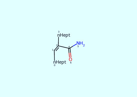 CCCCCCCC=C(CCCCCCC)C(N)=O